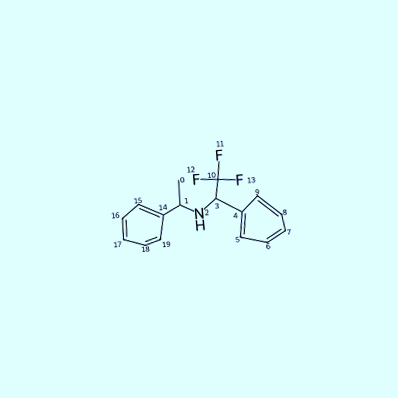 CC(NC(c1ccccc1)C(F)(F)F)c1ccccc1